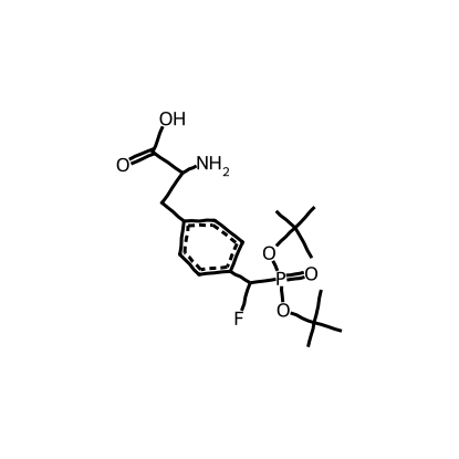 CC(C)(C)OP(=O)(OC(C)(C)C)C(F)c1ccc(CC(N)C(=O)O)cc1